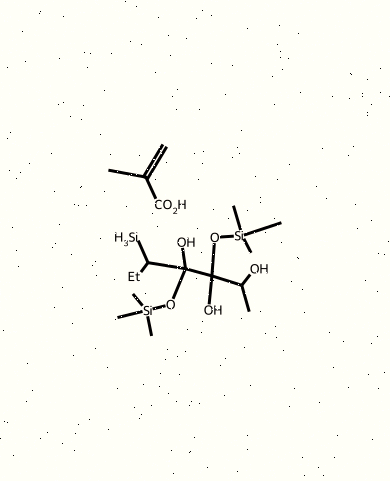 C=C(C)C(=O)O.CCC([SiH3])C(O)(O[Si](C)(C)C)C(O)(O[Si](C)(C)C)C(C)O